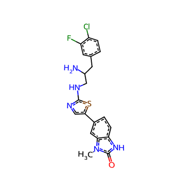 Cn1c(=O)[nH]c2ccc(-c3cnc(NCC(N)Cc4ccc(Cl)c(F)c4)s3)cc21